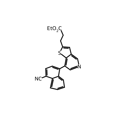 CCOC(=O)CCc1cc2cncc(-c3ccc(C#N)c4ccccc34)c2s1